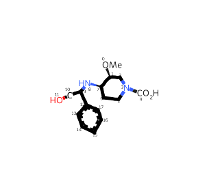 CO[C@H]1CN(C(=O)O)CC[C@H]1NC(CO)c1ccccc1